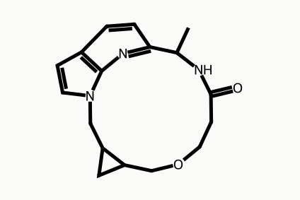 CC1NC(=O)CCOCC2CC2Cn2ccc3ccc1nc32